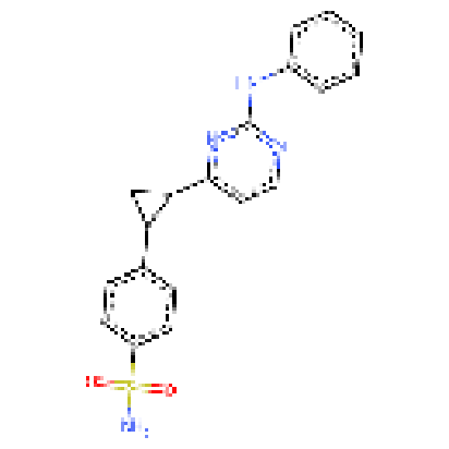 NS(=O)(=O)c1ccc(C2CC2c2ccnc(Nc3ccccc3)n2)cc1